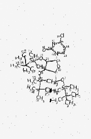 CC(C)(C)[Si](C)(C)OC[C@H]1O[C@@H](n2ccc(Cl)nc2=O)C(O[Si](C)(C)C(C)(C)C)C1O[Si](C)(C)C(C)(C)C